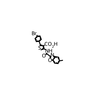 Cc1ccc2oc(C(=O)Nc3csc(-c4ccc(Br)cc4)c3C(=O)O)nc2c1